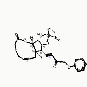 CC(C)(C)[Si](C)(C)O[C@@H]1C[C@@H]2OC(=O)CCC/C=C\C[C@@H]2[C@H]1/C=C/C(=O)COc1ccccc1